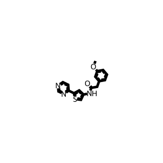 COc1cccc(CC(=O)Nc2csc(-c3ccncn3)c2)c1